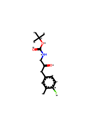 Cc1cc(CC(=O)CNC(=O)OC(C)(C)C)ccc1F